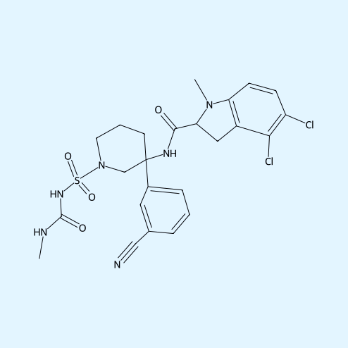 CNC(=O)NS(=O)(=O)N1CCCC(NC(=O)C2Cc3c(ccc(Cl)c3Cl)N2C)(c2cccc(C#N)c2)C1